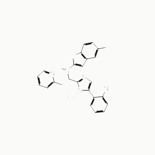 Cn1c(-c2ccccc2[N+](=O)[O-])cnc1[C@H](Cc1ccccn1)N(C=O)c1cc2cc(F)ccc2o1